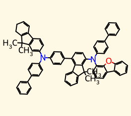 CC1(C)C2=C(C=CCC2)c2ccc(N(c3ccc(-c4ccccc4)cc3)c3ccc(-c4ccc(N(c5ccc(-c6ccccc6)cc5)c5cccc6c5oc5ccccc56)c5c4-c4ccccc4C5(C)C)cc3)cc21